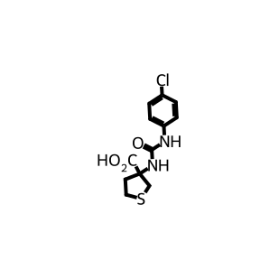 O=C(Nc1ccc(Cl)cc1)NC1(C(=O)O)CCSC1